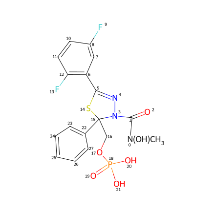 CN(O)C(=O)N1N=C(c2cc(F)ccc2F)SC1(COP(=O)(O)O)c1ccccc1